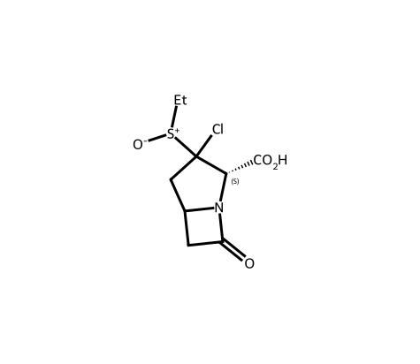 CC[S+]([O-])C1(Cl)CC2CC(=O)N2[C@H]1C(=O)O